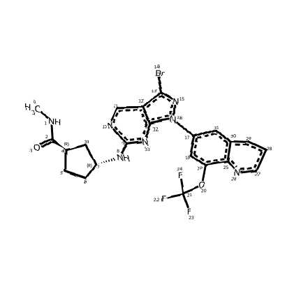 CNC(=O)[C@@H]1CC[C@@H](Nc2ncc3c(Br)nn(-c4cc(OC(F)(F)F)c5ncccc5c4)c3n2)C1